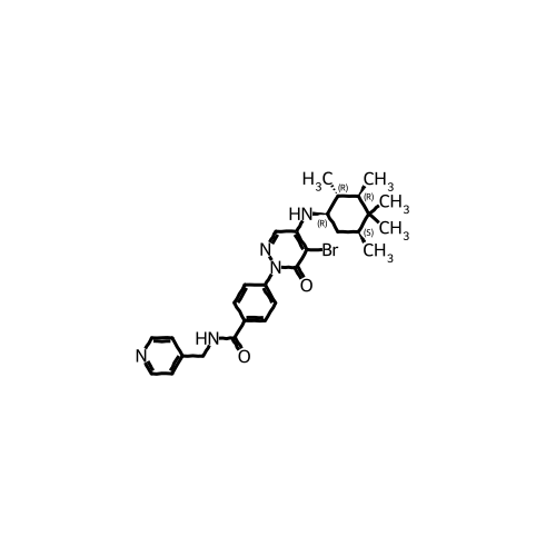 C[C@@H]1[C@@H](C)C(C)(C)[C@@H](C)C[C@H]1Nc1cnn(-c2ccc(C(=O)NCc3ccncc3)cc2)c(=O)c1Br